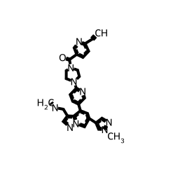 C#Cc1ccc(C(=O)N2CCN(c3ccc(-c4cc(-c5cnn(C)c5)cn5ncc(CN=C)c45)cn3)CC2)cn1